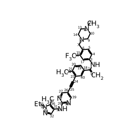 C=C(Nc1ccc(CN2CCN(C)CC2)c(C(F)(F)F)c1)c1ccc(C)c(C#Cc2cnc(Nc3cnn(CC)c3C)nc2)c1